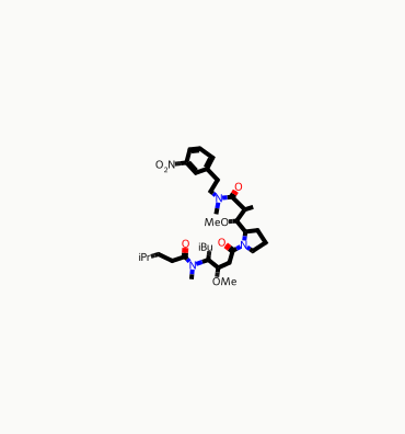 CCC(C)C(C(CC(=O)N1CCCC1C(OC)C(C)C(=O)N(C)CCc1cccc([N+](=O)[O-])c1)OC)N(C)C(=O)CCC(C)C